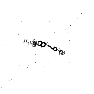 CS(=O)(=O)N1CCc2cc(OCCCc3ccc(Oc4cncnc4)cc3)ccc2C1